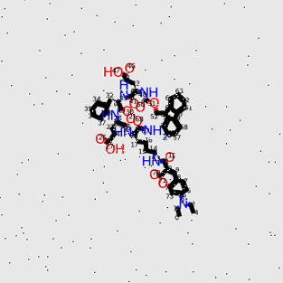 CCN(CC)c1ccc2cc(C(=O)NCCCC[C@H](NC(=O)[C@H](CCC(=O)O)NC(=O)[C@H](Cc3ccccc3)NC(=O)[C@H](CCC(=O)O)NC(=O)OCC3c4ccccc4-c4ccccc43)C(N)=O)c(=O)oc2c1